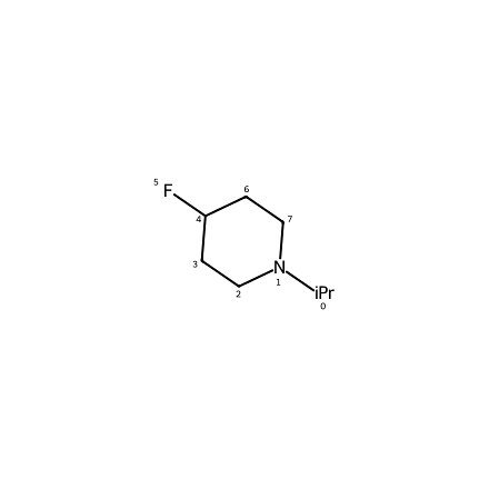 CC(C)N1CCC(F)CC1